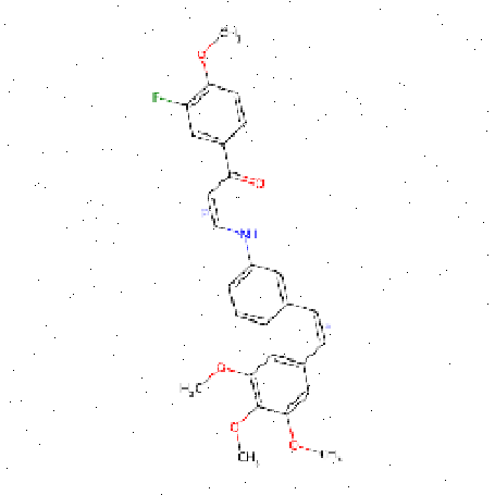 COc1ccc(C(=O)/C=C\Nc2cccc(/C=C\c3cc(OC)c(OC)c(OC)c3)c2)cc1F